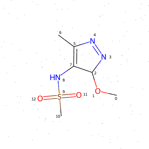 COC1N=NC(C)=C1NS(C)(=O)=O